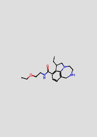 CCOCCNC(=O)c1ccc2c3c1C(CC)CN3CCNC2